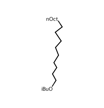 CCCCCCCCCCCCCCCCCOCC(C)C